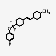 CC1CCC(/C=C/C2CCC(C(F)(F)Oc3ccc(F)cc3)CC2)CC1